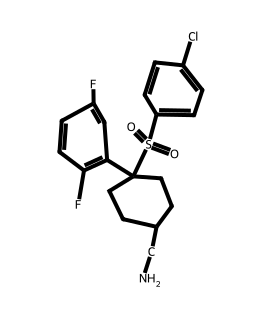 NCC1CCC(c2cc(F)ccc2F)(S(=O)(=O)c2ccc(Cl)cc2)CC1